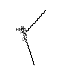 CCCCCCCCCCCCCCCCCC(=O)OC[C@@H](CO[PH](=O)O)OC(=O)CCCCCCCCCCCCCCCCC